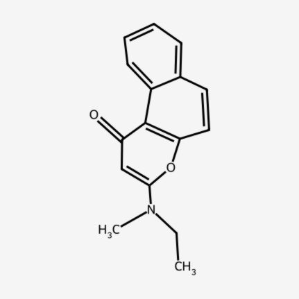 CCN(C)c1cc(=O)c2c(ccc3ccccc32)o1